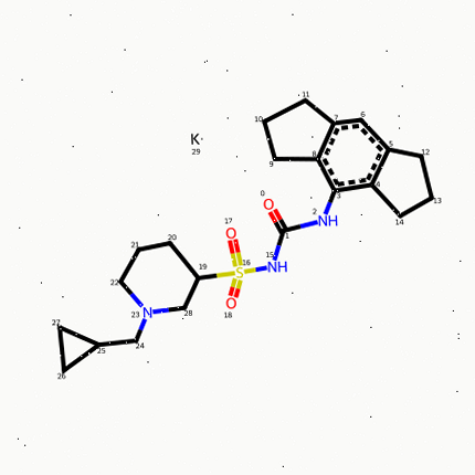 O=C(Nc1c2c(cc3c1CCC3)CCC2)NS(=O)(=O)C1CCCN(CC2CC2)C1.[K]